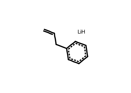 C=CCc1ccccc1.[LiH]